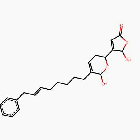 O=C1C=C(C2CC=C(CCCCCC=CCc3ccccc3)C(O)O2)C(O)O1